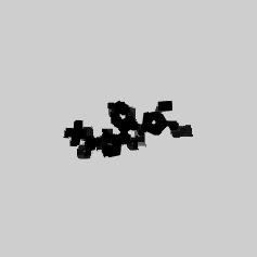 CC[C@H]1C[C@H](Nc2ncncc2C(=O)c2ccn(C(=O)OC(C)(C)C)n2)C[C@@H]1CO